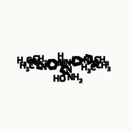 C[N+](C)(C)C1CCN(c2ccc(Nc3cc(O)c(N)nc3Nc3ccc(N4CCC([N+](C)(C)C)C4)cc3)cc2)C1